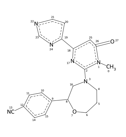 Cn1c(N2CCCOC(c3ccc(C#N)cc3)C2)nc(-c2ccncn2)cc1=O